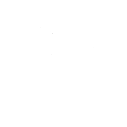 O=C(O)N1CCN(c2cc(-c3ccc(F)cc3F)c3cc[n+]([O-])c(-c4c(Cl)cccc4Cl)c3n2)CC1